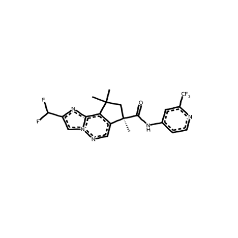 CC1(C)C[C@@](C)(C(=O)Nc2ccnc(C(F)(F)F)c2)c2cnn3cc(C(F)F)nc3c21